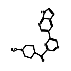 CN1CCC(C(=O)c2cncc(-c3cnc4[nH]ccc4c3)n2)CC1